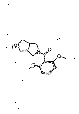 COc1cccc(OC)c1C(=O)N1CC2=CNCC2C1